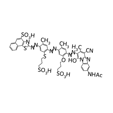 CC(=O)Nc1ccc2c(c1)nc1c(C#N)c(C)c(N=Nc3cc(C)c(N=Nc4cc(C)c(N=Nc5nc6c(S(=O)(=O)O)cc7ccccc7c6s5)cc4SCCCS(=O)(=O)O)cc3OCCCS(=O)(=O)O)c(O)n12